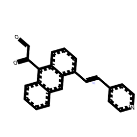 O=CC(=O)c1c2ccccc2cc2c(/C=C/c3ccncc3)cccc12